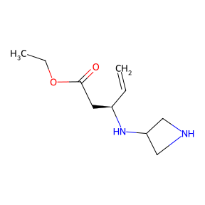 C=C[C@H](CC(=O)OCC)NC1CNC1